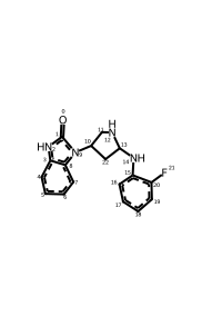 O=c1[nH]c2ccccc2n1C1CNC(Nc2ccccc2F)C1